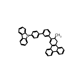 CC1Cc2c(c3ccccc3c3ccccc23)C=C1c1cccc(-c2ccc(-n3c4ccccc4c4ccccc43)cc2)c1